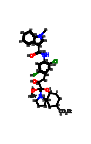 CCCOC(OC1CCC(C(=O)OCC)CC1)(C(=O)Cc1cc(Cl)c(NC(=O)c2cn(C)c3ccccc23)cc1F)N1CCCC1